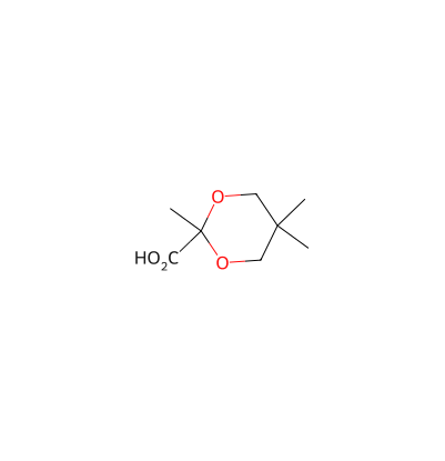 CC1(C)COC(C)(C(=O)O)OC1